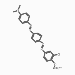 CCCCCCCOc1ccc(/N=N/c2ccc(N=Nc3ccc(N(C)C)cc3)cc2)cc1Cl